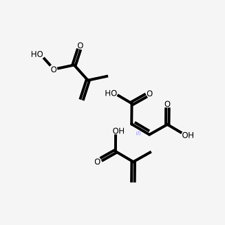 C=C(C)C(=O)O.C=C(C)C(=O)OO.O=C(O)/C=C\C(=O)O